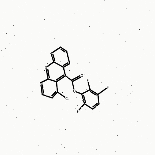 O=C(Oc1c(F)ccc(F)c1F)c1c2ccccc2nc2cccc(Cl)c12